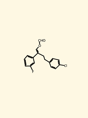 O=CO/C=C(\CCc1ccc(Cl)cc1)c1cccc(F)c1